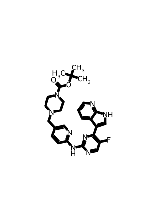 CC(C)(C)OC(=O)N1CCN(Cc2ccc(Nc3ncc(F)c(-c4c[nH]c5ncccc45)n3)nc2)CC1